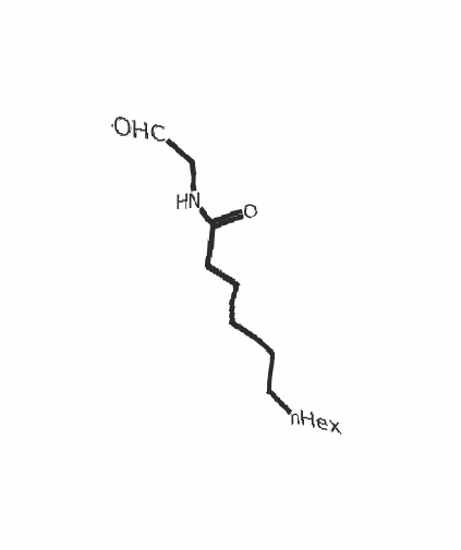 CCCCCCCCCCCC(=O)NC[C]=O